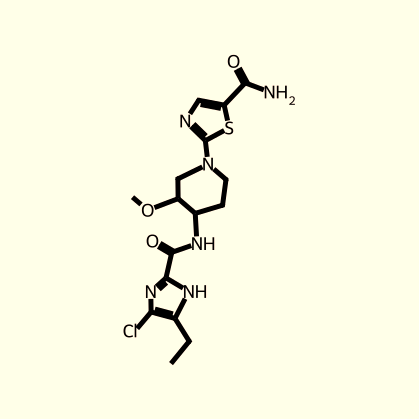 CCc1[nH]c(C(=O)NC2CCN(c3ncc(C(N)=O)s3)CC2OC)nc1Cl